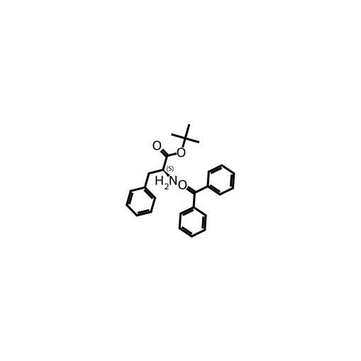 CC(C)(C)OC(=O)[C@@H](N)Cc1ccccc1.O=C(c1ccccc1)c1ccccc1